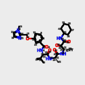 C=C(C)[C@H](NC(=O)c1cccc(OCc2nccn2C)c1)C(=O)N[C@@H](C)C(=O)N[C@H](C(=O)C(=O)NC1CCCCC1)C(C)C